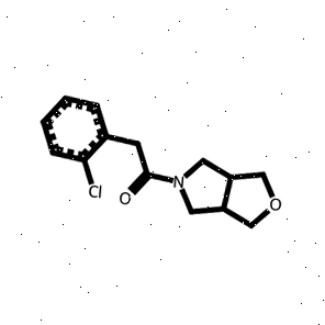 O=C(Cc1ccccc1Cl)N1CC2COCC2C1